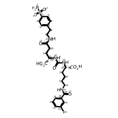 NS(=O)(=O)c1ccc(CCNC(=O)CC[C@H](NC(=O)N[C@@H](CCCCNC(=O)c2cccc(I)c2)C(=O)O)C(=O)O)cc1